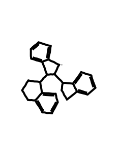 [CH]1c2ccccc2C(C2CCCc3ccccc32)C1C1CCc2ccccc21